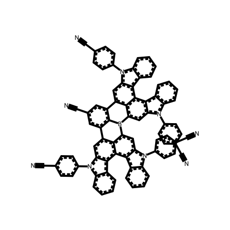 N#Cc1ccc(-n2c3ccccc3c3c4c5c(cc32)B2c3c(cc(C#N)cc3-c3cc6c(c7ccccc7n6-c6ccc(C#N)cc6)c6c3c2cc2c6c3ccccc3n2-c2ccc(C#N)cc2)-c5cc2c4c3ccccc3n2-c2ccc(C#N)cc2)cc1